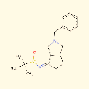 CC(C)(C)[S+]([O-])/N=C1/CCC2CN(Cc3ccccc3)CC12